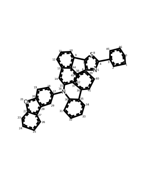 c1ccc(-c2nc3c(s2)-c2cccc4cc(N(c5ccc6oc7ccccc7c6c5)c5ccccc5-c5ccccc5)cc-3c24)cc1